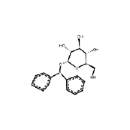 OC[C@H]1O[C@H](OP(c2ccccc2)c2ccccc2)[C@H](O)[C@@H](O)[C@@H]1O